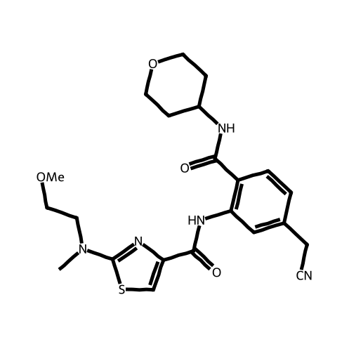 COCCN(C)c1nc(C(=O)Nc2cc(CC#N)ccc2C(=O)NC2CCOCC2)cs1